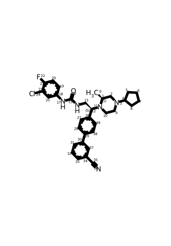 C[C@H]1CN(C2CCCC2)CCN1[C@H](CNC(=O)Nc1ccc(F)c(Cl)c1)c1ccc(-c2cccc(C#N)c2)cc1